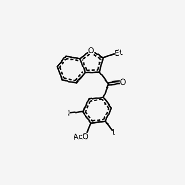 CCc1oc2ccccc2c1C(=O)c1cc(I)c(OC(C)=O)c(I)c1